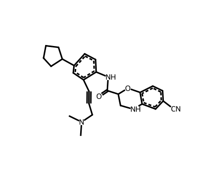 CN(C)CC#Cc1cc(C2CCCC2)ccc1NC(=O)C1CNc2cc(C#N)ccc2O1